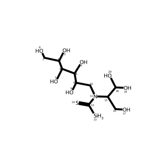 OCC(O)C(O)C(O)C(O)CN(C([SiH3])=S)C(CO)C(O)O